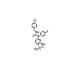 CC(Nc1nccc(N(C(=O)NCc2ccc(Cl)cc2)c2ccc(F)cc2)n1)C(C)(C)O